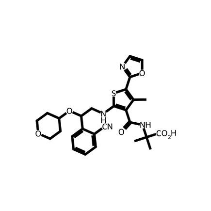 Cc1c(-c2ncco2)sc(NCC(OC2CCOCC2)c2ccccc2C#N)c1C(=O)NC(C)(C)C(=O)O